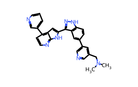 CN(C)Cc1cncc(-c2ccc3[nH]nc(-c4cc5c(-c6cccnc6)ccnc5[nH]4)c3c2)c1